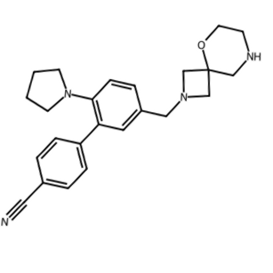 N#Cc1ccc(-c2cc(CN3CC4(CNCCO4)C3)ccc2N2CCCC2)cc1